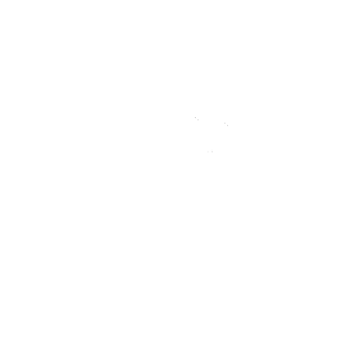 CCCCc1ncc(C(=O)O)n1Cc1ccc(-c2cccc(-c3ccccc3)c2)cc1